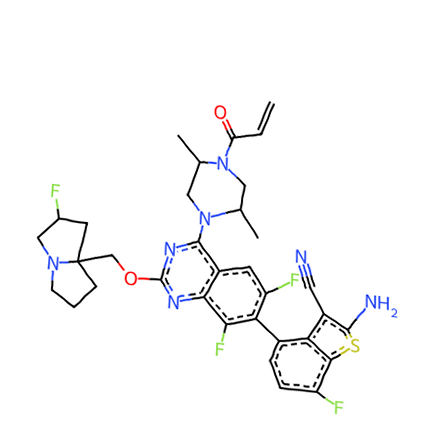 C=CC(=O)N1CC(C)N(c2nc(OCC34CCCN3CC(F)C4)nc3c(F)c(-c4ccc(F)c5sc(N)c(C#N)c45)c(F)cc23)CC1C